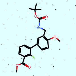 COC(=O)c1cccc(-c2ccc(OC)c(CNC(=O)OC(C)(C)C)c2)c1F